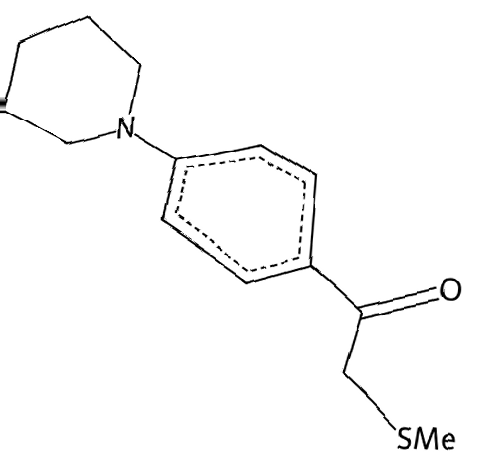 CSCC(=O)c1ccc(N2CCCCC2)cc1